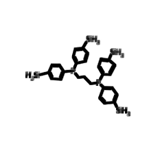 [SiH3]c1ccc(P(CCCP(c2ccc([SiH3])cc2)c2ccc([SiH3])cc2)c2ccc([SiH3])cc2)cc1